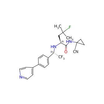 CC(C)(F)C[C@H](N[C@@H](c1ccc(-c2ccncc2)cc1)C(F)(F)F)C(=O)NC1(C#N)CC1